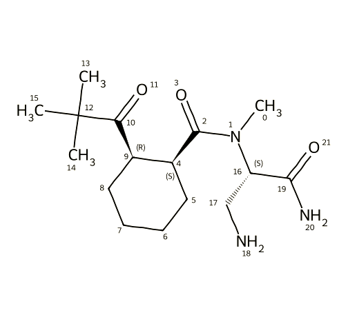 CN(C(=O)[C@H]1CCCC[C@H]1C(=O)C(C)(C)C)[C@@H](CN)C(N)=O